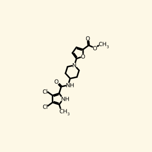 COC(=O)c1ccc(N2CCC(NC(=O)c3[nH]c(C)c(Cl)c3Cl)CC2)o1